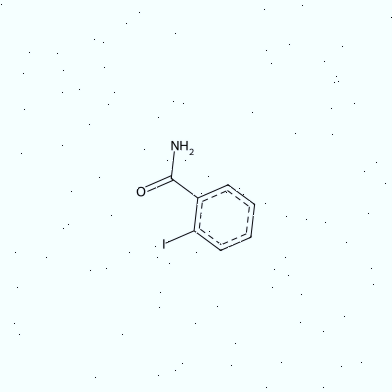 NC(=O)c1ccccc1I